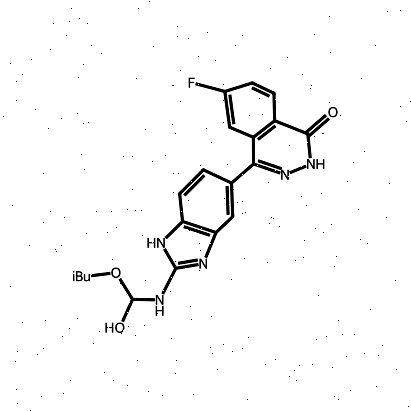 CCC(C)OC(O)Nc1nc2cc(-c3n[nH]c(=O)c4ccc(F)cc34)ccc2[nH]1